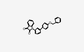 O=C1C(=O)N(c2cccc(-c3ccc(OCc4ccccc4)cc3)c2)c2ccccc21